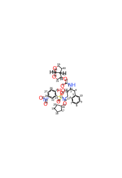 O=C(N[C@@H](Cc1ccccc1)[C@@H](O)CN(OC1CCCC1)S(=O)(=O)c1cccc([N+](=O)[O-])c1)O[C@H]1CO[C@H]2OCC[C@H]21